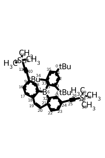 CC(C)(C)c1cc(C(C)(C)C)c(B2c3cc(C#C[Si](C)(C)C)ccc3C=Cc3ccc(C#C[Si](C)(C)C)cc32)c(C(C)(C)C)c1